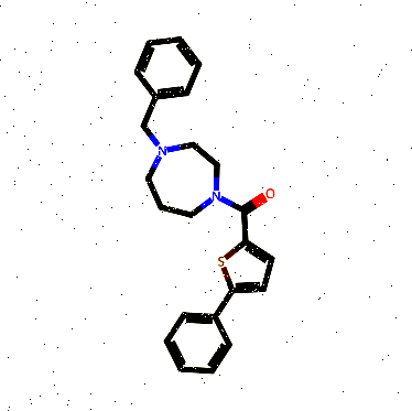 O=C(c1ccc(-c2ccccc2)s1)N1CCCN(Cc2ccccc2)CC1